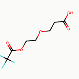 O=C(O)CCOCCOC(=O)C(F)(F)F